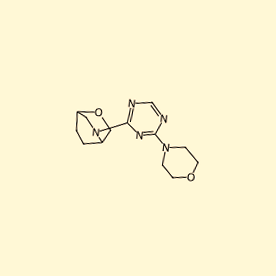 c1nc(N2CCOCC2)nc(N2CC3CCC2CO3)n1